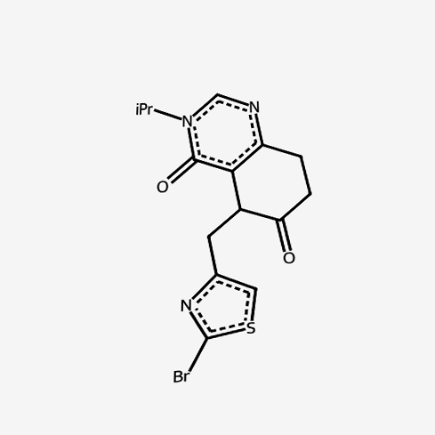 CC(C)n1cnc2c(c1=O)C(Cc1csc(Br)n1)C(=O)CC2